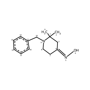 CC1(C)C/C(=N\O)CCN1Cc1ccccc1